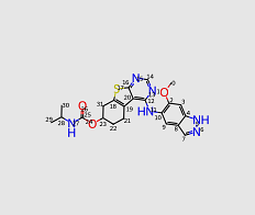 COc1cc2[nH]ncc2cc1Nc1ncnc2sc3c(c12)CCC(OC(=O)NC(C)C)C3